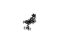 CCN(CC)CC=Cc1cc(F)ccc1S(=O)(=O)Nc1ccc2c(c1C(=O)OC)CCn1nccc1-2